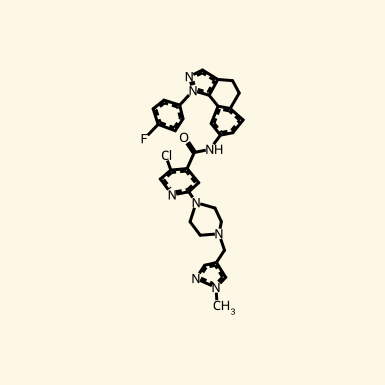 Cn1cc(CN2CCN(c3cc(C(=O)Nc4ccc5c(c4)-c4c(cnn4-c4ccc(F)cc4)CC5)c(Cl)cn3)CC2)cn1